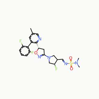 Cc1cnc([C@@H]2CC(N3CC(/C=N/S(=O)(=O)N(C)C)[C@@H](F)C3)=NO2)c(-c2c(F)cccc2F)c1